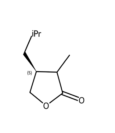 CC(C)C[C@@H]1COC(=O)C1C